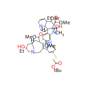 CC[C@]1(O)C[C@H]2CN(CCc3c([nH]c4ccc(SCC(=O)OC(C)(C)C)cc34)[C@@](C(=O)OC)(C3C=C4C(=CC3OC)N(C)[C@H]3[C@@](O)(C(=O)OC)[C@H](OC(C)=O)[C@]5(CC)C=CCN6CC[C@]43[C@@H]65)C2)C1